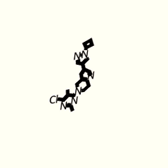 Cc1nc(Cl)c(C)c(N2CCc3ncc(-c4cnn(C5CCC5)c4)cc3C2)n1